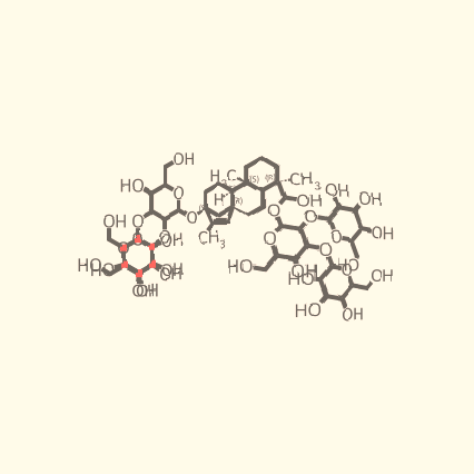 CC1=C[C@@]23CCC4[C@](C)(C(O)OC5OC(CO)C(O)C(OC6OC(CO)C(O)C(O)C6O)C5OC5OC(CO)C(O)C(O)C5O)CCC[C@@]4(C)[C@@H]2CC[C@]1(OC1OC(CO)C(O)C(OC2OC(CO)C(O)C(O)C2O)C1OC1OC(CO)C(O)C(O)C1O)C3